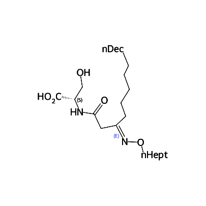 CCCCCCCCCCCCCCC/C(CC(=O)N[C@@H](CO)C(=O)O)=N\OCCCCCCC